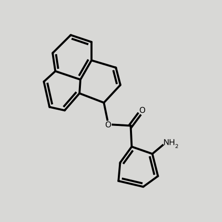 Nc1ccccc1C(=O)OC1C=Cc2cccc3cccc1c23